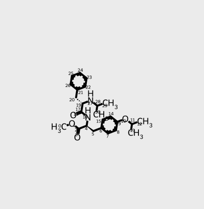 COC(=O)[C@H](Cc1ccc(OC(C)C)cc1)NC(=O)[C@H](Cc1ccccc1)NC(C)C